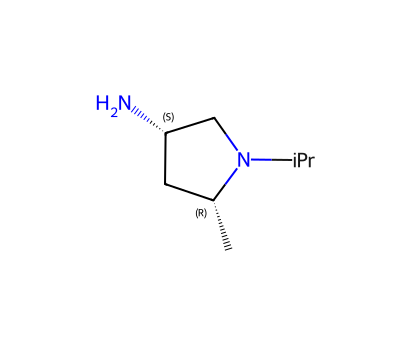 CC(C)N1C[C@@H](N)C[C@H]1C